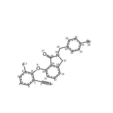 N#Cc1cccc(F)c1Oc1cccc2c1C(=O)N(Cc1ccc(Br)cc1)C2